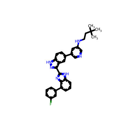 CC(C)(C)CCNc1cncc(-c2ccc3[nH]nc(-c4nc5c(-c6cccc(F)c6)cccc5[nH]4)c3c2)c1